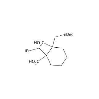 CCCCCCCCCCCC1(C(=O)O)CCCCC1(CC(C)C)C(=O)O